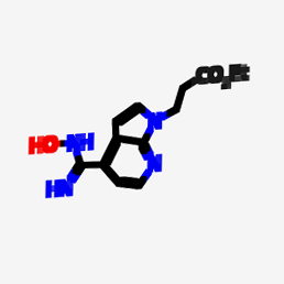 CCOC(=O)CCn1ccc2c(C(=N)NO)ccnc21